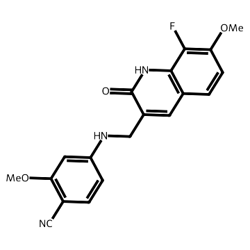 COc1cc(NCc2cc3ccc(OC)c(F)c3[nH]c2=O)ccc1C#N